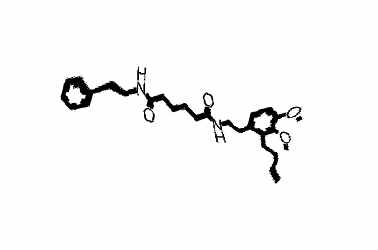 CCCCc1c(CCNC(=O)CCCCC(=O)NCCc2ccccc2)ccc(OC)c1OC